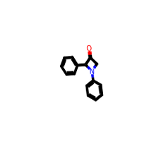 O=C1CN(c2ccccc2)C1c1ccccc1